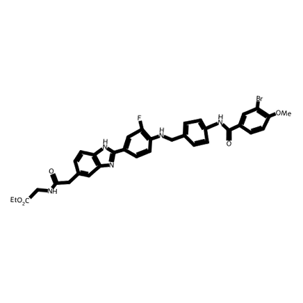 CCOC(=O)CNC(=O)Cc1ccc2[nH]c(-c3ccc(NCc4ccc(NC(=O)c5ccc(OC)c(Br)c5)cc4)c(F)c3)nc2c1